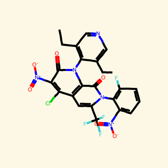 CCc1cncc(CC)c1-n1c(=O)c([N+](=O)[O-])c(Cl)c2cc(C(F)(F)F)n(-c3c(F)cccc3[N+](=O)[O-])c(=O)c21